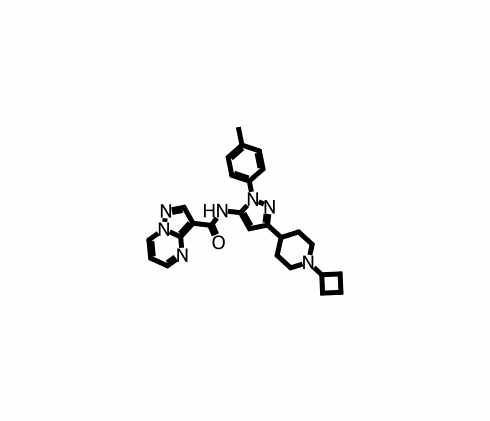 Cc1ccc(-n2nc(C3CCN(C4CCC4)CC3)cc2NC(=O)c2cnn3cccnc23)cc1